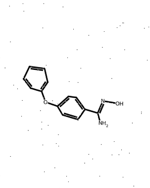 NC(=NO)c1ccc(Oc2ccccc2)cc1